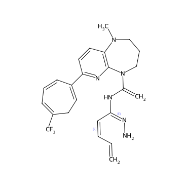 C=C/C=C\C(=N/N)NC(=C)N1CCCN(C)c2ccc(C3=CCC(C(F)(F)F)=CC=C3)nc21